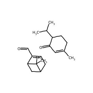 CC1(C)C2CC=C(C=O)C1C2.CC1=CC(=O)C(C(C)C)CC1